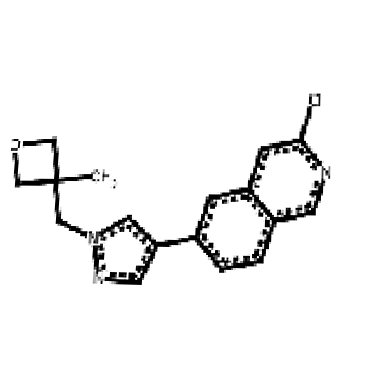 CC1(Cn2cc(-c3ccc4cnc(Cl)cc4c3)cn2)COC1